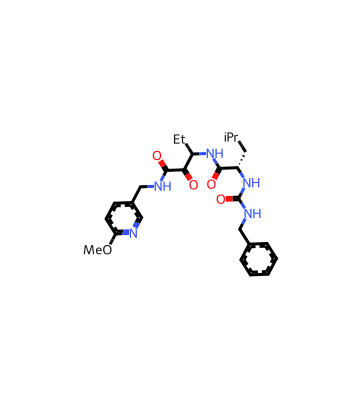 CCC(NC(=O)[C@H](CC(C)C)NC(=O)NCc1ccccc1)C(=O)C(=O)NCc1ccc(OC)nc1